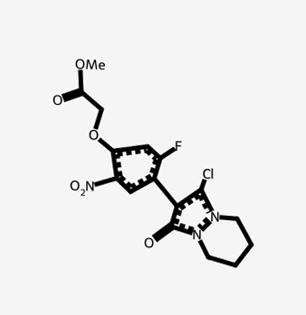 COC(=O)COc1cc(F)c(-c2c(Cl)n3n(c2=O)CCCC3)cc1[N+](=O)[O-]